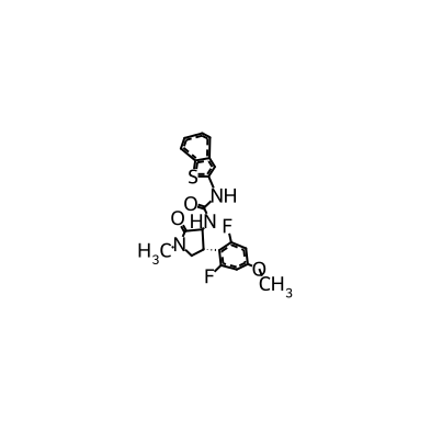 COc1cc(F)c([C@@H]2CN(C)C(=O)[C@H]2NC(=O)Nc2cc3ccccc3s2)c(F)c1